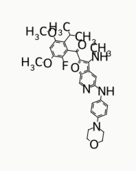 CNc1c(C(=O)c2c(F)c(OC)cc(OC)c2C(C)C)oc2cnc(Nc3ccc(N4CCOCC4)cc3)cc12